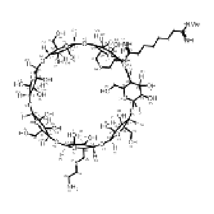 CNC(=N)CCCCCCC(=N)NCCSCC1O[C@@H]2O[C@@H]3C(CO)O[C@@H](O[C@@H]4C(CO)O[C@@H](O[C@@H]5C(CSCCN)O[C@@H](O[C@@H]6C(CO)O[C@H](O[C@@H]7C(O)O[C@H](O[C@@H]8C(CO)O[C@H](O[C@H]1[C@H](O)C2O)C(O)[C@H]8O)C(O)[C@H]7O)C(O)[C@H]6O)C(O)[C@H]5O)C(O)[C@H]4O)C(O)[C@H]3O